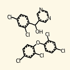 Clc1ccc(Oc2ccc(Cl)cc2Cl)c(Cl)c1.OC(c1cncnc1)c1ccc(Cl)cc1Cl